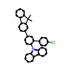 CC1(C)c2ccccc2-c2ccc(-c3ccc(-n4c5ccccc5c5ccccc54)c(-c4ccc(Cl)cc4)c3)cc21